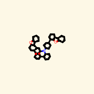 c1ccc(-c2ccccc2N(c2ccc(-c3cccc4c3oc3ccccc34)cc2)c2ccc3ccc4oc5ccccc5c4c3c2)cc1